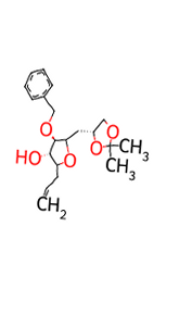 C=CCC1OC(C[C@@H]2COC(C)(C)O2)[C@H](OCc2ccccc2)[C@H]1O